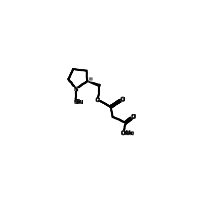 COC(=O)CC(=O)OC[C@@H]1CCCN1C(C)(C)C